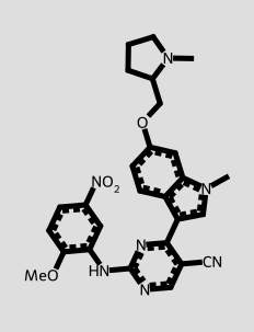 COc1ccc([N+](=O)[O-])cc1Nc1ncc(C#N)c(-c2cn(C)c3cc(OCC4CCCN4C)ccc23)n1